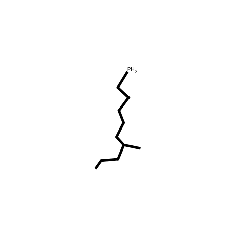 CCCC(C)CCCCCP